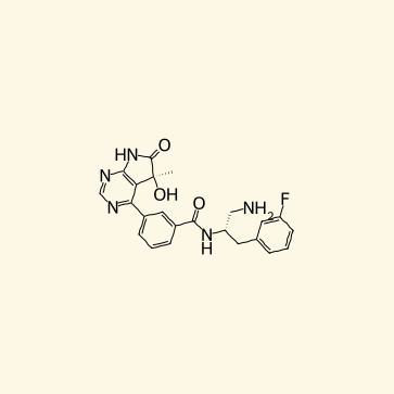 C[C@@]1(O)C(=O)Nc2ncnc(-c3cccc(C(=O)N[C@H](CN)Cc4cccc(F)c4)c3)c21